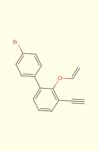 C#Cc1cccc(-c2ccc(Br)cc2)c1OC=C